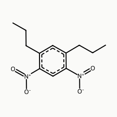 CCCc1cc(CCC)c([N+](=O)[O-])cc1[N+](=O)[O-]